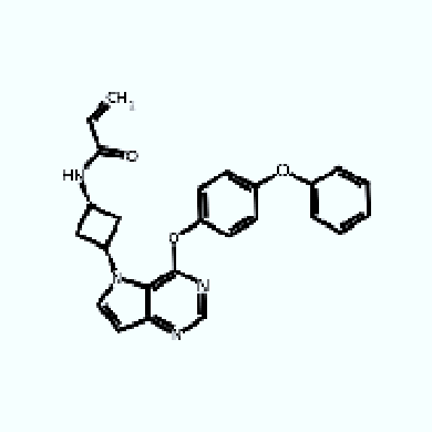 C=CC(=O)N[C@H]1C[C@@H](n2ccc3ncnc(Oc4ccc(Oc5ccccc5)cc4)c32)C1